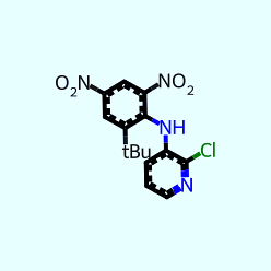 CC(C)(C)c1cc([N+](=O)[O-])cc([N+](=O)[O-])c1Nc1cccnc1Cl